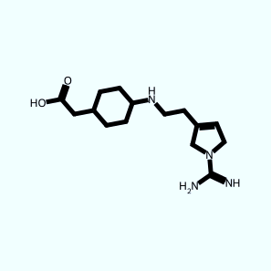 N=C(N)N1CC=C(CCNC2CCC(CC(=O)O)CC2)C1